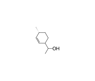 CC(O)C1C=C[C@H](C)CC1